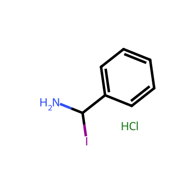 Cl.NC(I)c1ccccc1